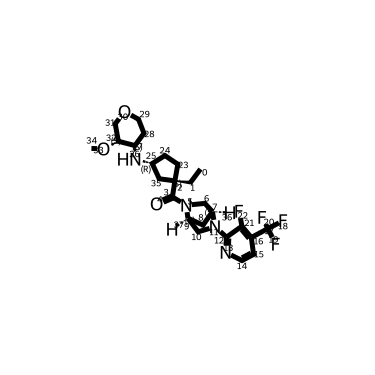 CC[C@]1(C(=O)N2C[C@@H]3C[C@H]2CN3c2nccc(C(F)(F)F)c2F)CC[C@@H](N[C@H]2CCOC[C@H]2OC)C1